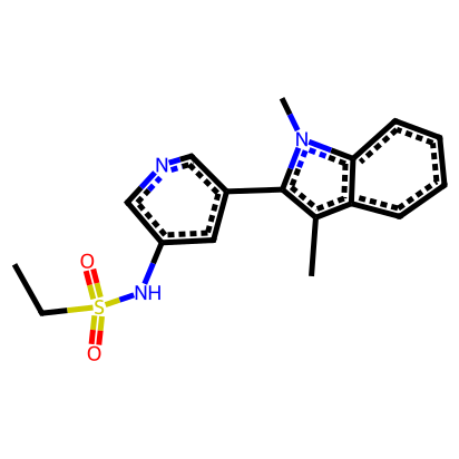 CCS(=O)(=O)Nc1cncc(-c2c(C)c3ccccc3n2C)c1